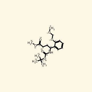 COCOc1ccccc1C(CCC(=O)OC)NC(=O)OC(C)(C)C